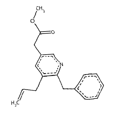 C=CCc1cc(CC(=O)OC)cnc1Cc1ccccc1